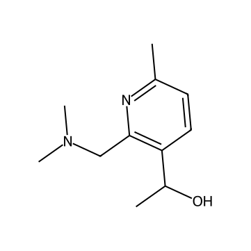 Cc1ccc(C(C)O)c(CN(C)C)n1